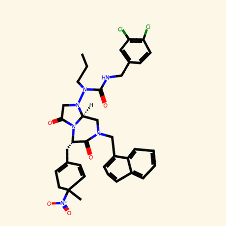 CCCN(C(=O)NCc1ccc(Cl)c(Cl)c1)N1CC(=O)N2[C@@H](CC3=CCC(C)([N+](=O)[O-])C=C3)C(=O)N(Cc3cccc4ccccc34)C[C@@H]21